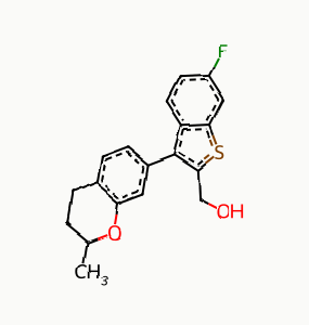 CC1CCc2ccc(-c3c(CO)sc4cc(F)ccc34)cc2O1